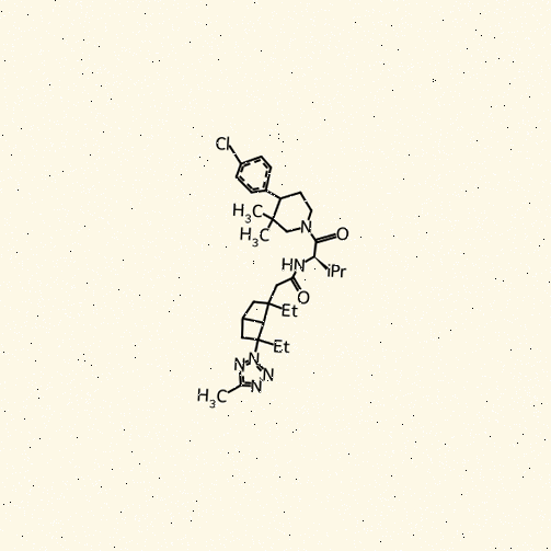 CCC1(CC(=O)N[C@@H](C(=O)N2CCC(c3ccc(Cl)cc3)C(C)(C)C2)C(C)C)CC2CC(CC)(n3nnc(C)n3)C21